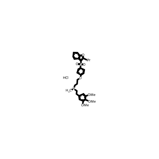 COc1cc(CCN(C)CCCOc2ccc(S(=O)(=O)c3c(C(C)C)oc4ccccc34)cc2)cc(OC)c1OC.Cl